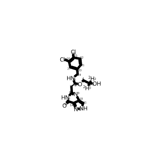 [2H]C([2H])(O)CO[C@@H](Cc1nc2c[nH]nc2c(=O)[nH]1)NCc1ccc(Cl)c(Cl)c1